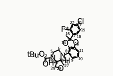 CC(C)(C)OC(=O)N1CCN(c2cccc3c2OC(C)(c2ccc(Cl)cc2F)O3)[C@@H]2COC[C@@H]21